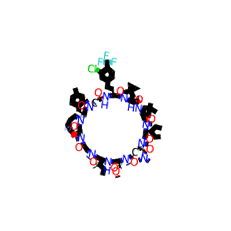 CCC(CC)[C@H]1C(=O)N(C)[C@H](C(=O)N(C)C)CC(=O)N(C)[C@@H](COC)C(=O)N[C@@H]([C@@H](C)CC)C(=O)N(C)CC(=O)N(C)[C@H]2C/C=C\CCN(C2=O)[C@@H](Cc2ccc(C)cc2)C(=O)N(C)CC(=O)N[C@@H](CCc2ccc(C(F)(F)F)c(Cl)c2)C(=O)N2CC3(CC3)C[C@H]2C(=O)NC2(CC(C)(C)C2)C(=O)N1C